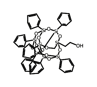 OCC[Si]12CO[Si]3(c4ccccc4)O[Si]4(c5ccccc5)O[Si](c5ccccc5)(O1)O[Si]1(c5ccccc5)O[Si](c5ccccc5)(O2)O[Si](c2ccccc2)(O3)O[Si](c2ccccc2)(O4)O1